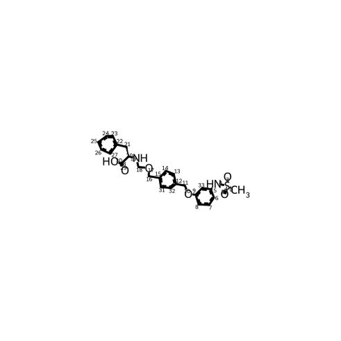 CS(=O)(=O)Nc1cccc(OCc2ccc(COCN[C@H](Cc3ccccc3)C(=O)O)cc2)c1